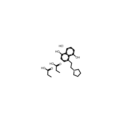 CCC(=O)O.CCC(=O)O.Cl.Oc1ccc(CCN2CCCC2)c2c(O)cccc12